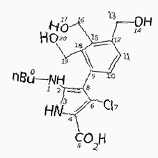 CCCCNc1[nH]c(C(=O)O)c(Cl)c1-c1ccc(CO)c(CO)c1CO